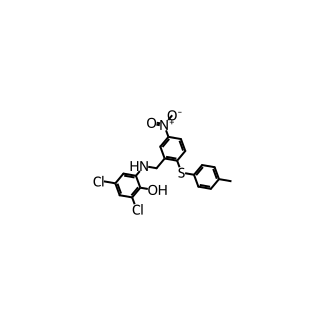 Cc1ccc(Sc2ccc([N+](=O)[O-])cc2CNc2cc(Cl)cc(Cl)c2O)cc1